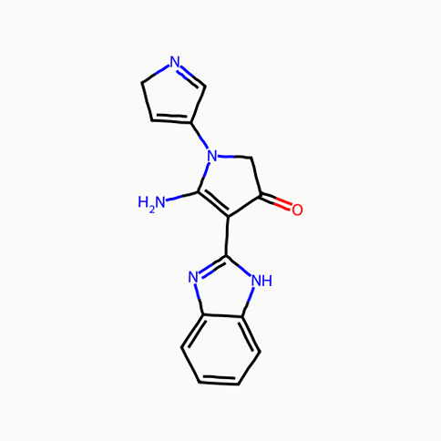 NC1=C(c2nc3ccccc3[nH]2)C(=O)CN1C1=CCN=C1